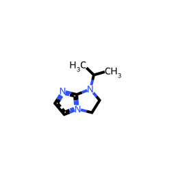 CC(C)N1CCn2ccnc21